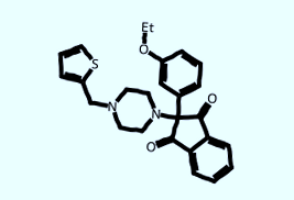 CCOc1cccc(C2(N3CCN(Cc4cccs4)CC3)C(=O)c3ccccc3C2=O)c1